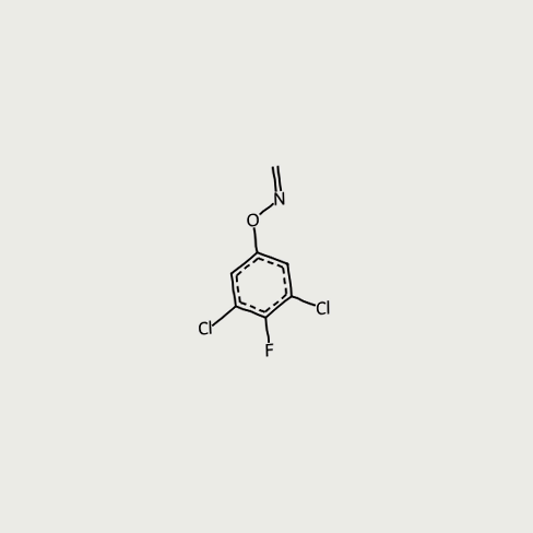 C=NOc1cc(Cl)c(F)c(Cl)c1